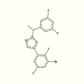 CC(c1cc(F)cc(F)c1)n1cc(-c2cc(F)cc(Br)c2F)cn1